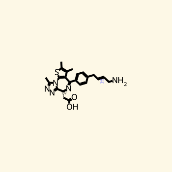 Cc1sc2c(c1C)C(c1ccc(C/C=C/CN)cc1)=N[C@H](CC(=O)O)c1nnc(C)n1-2